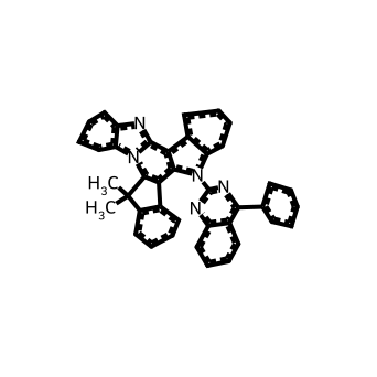 CC1(C)c2ccccc2-c2c1n1c3ccccc3nc1c1c3ccccc3n(-c3nc(-c4ccccc4)c4ccccc4n3)c21